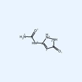 NC(=O)Nc1cc(=O)[nH][nH]1